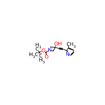 Cc1cccnc1C#CC1(O)CN(C(=O)OC(C)(C)C)C1